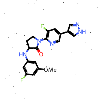 COc1cc(F)cc(NC2CCN(c3ncc(-c4cn[nH]c4)cc3F)C2=O)c1